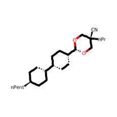 CCCCC[C@H]1CC[C@H]([C@H]2CC[C@@H]([C@H]3OC[C@@](C#N)(CCC)CO3)CC2)CC1